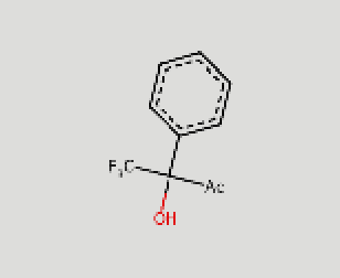 CC(=O)C(O)(c1ccccc1)C(F)(F)F